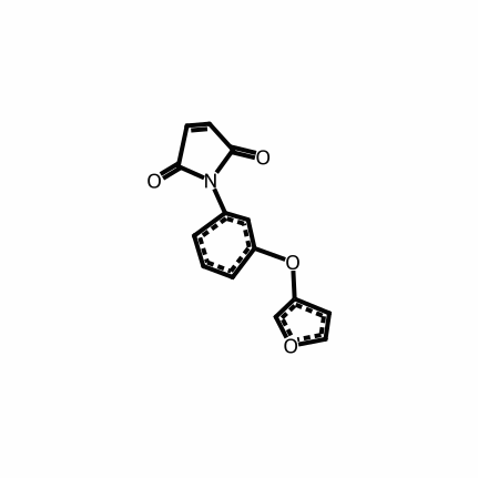 O=C1C=CC(=O)N1c1cccc(Oc2ccoc2)c1